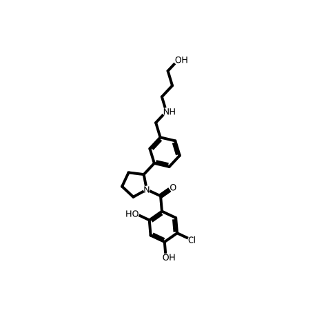 O=C(c1cc(Cl)c(O)cc1O)N1CCCC1c1cccc(CNCCCO)c1